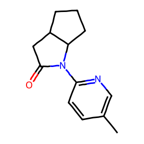 Cc1ccc(N2C(=O)CC3CCCC32)nc1